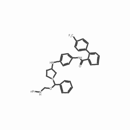 CCCNCOC(c1ccccc1)N1CCC(Nc2ccc(NC(=O)c3ccccc3-c3ccc(C(F)(F)F)cc3)cc2)C1